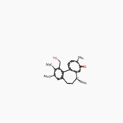 COc1cc2c(c(CO)c1OC)-c1ccc(OC)c(=O)cc1[C@@H](NC(C)=O)CC2